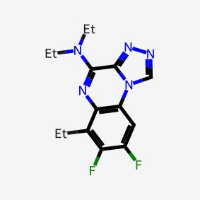 CCc1c(F)c(F)cc2c1nc(N(CC)CC)c1nncn12